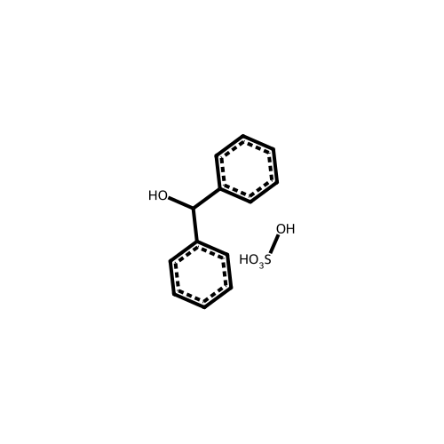 O=S(=O)(O)O.OC(c1ccccc1)c1ccccc1